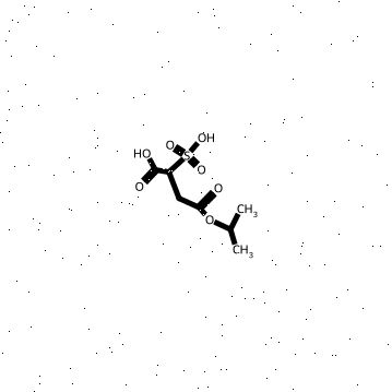 CC(C)OC(=O)CC(C(=O)O)S(=O)(=O)O